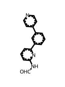 O=CNc1cccc(-c2cccc(-c3ccncc3)c2)n1